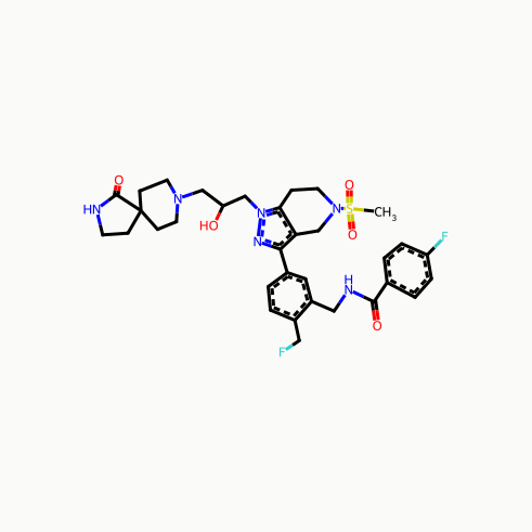 CS(=O)(=O)N1CCc2c(c(-c3ccc(CF)c(CNC(=O)c4ccc(F)cc4)c3)nn2CC(O)CN2CCC3(CCNC3=O)CC2)C1